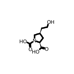 O=C(O)[C@@H]1C[C@H](CCO)CN1C(=O)O